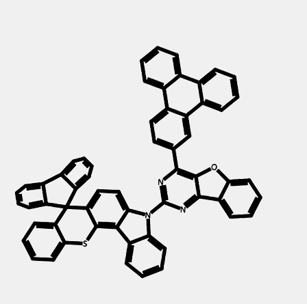 c1ccc2c(c1)Sc1c(ccc3c1c1ccccc1n3-c1nc(-c3ccc4c5ccccc5c5ccccc5c4c3)c3oc4ccccc4c3n1)C21c2ccccc2-c2ccccc21